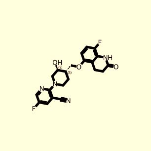 N#Cc1cc(F)cnc1N1CC[C@@H](COc2ccc(F)c3c2CCC(=O)N3)[C@H](O)C1